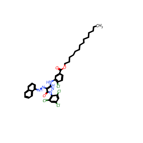 CCCCCCCCCCCCCCOC(=O)c1ccc(Cl)c(Nc2[nH]n(-c3c(Cl)cc(Cl)cc3Cl)c(=O)c2/N=N/c2cccc3ccccc23)c1